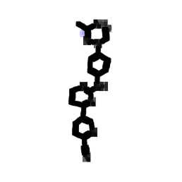 C=CN(/N=C(/C)N)c1ccc(Nc2nccc(-c3ccc(C#N)nc3)n2)cc1